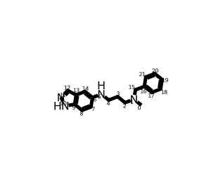 CN(CCCNc1ccc2[nH]ncc2c1)Cc1ccccc1